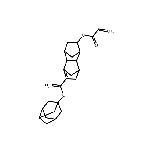 C=CC(=O)OC1CC2CC1C1C3CC(C(=C)OC45CC6CC(C4)C(C6)C5)=C(C3)C21